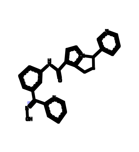 O=C(Nc1cccc(/C(=N/O)c2ccccn2)c1)c1ccn2c1CSC2c1cccnc1